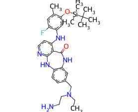 CCN(CCN)Cc1ccc2c(c1)NC(=O)c1c(Nc3cc(O[Si](C)(C)C(C)(C)C)c(C)cc3F)ccnc1N2